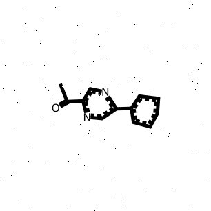 CC(=O)c1cnc(-c2ccccc2)cn1